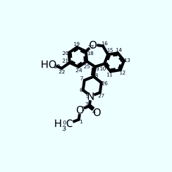 CCOC(=O)N1CCC(=C2c3ccccc3COc3ccc(CO)cc32)CC1